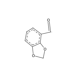 O=[C]c1cccc2c1OCO2